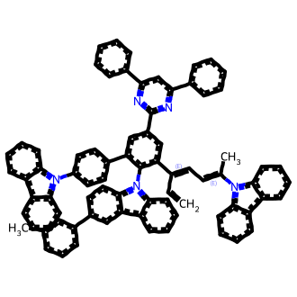 C=C/C(=C\C=C(/C)n1c2ccccc2c2ccccc21)c1cc(-c2nc(-c3ccccc3)cc(-c3ccccc3)n2)cc(-c2ccc(-n3c4ccccc4c4ccccc43)cc2)c1-n1c2ccccc2c2cc(-c3cccc(C)c3)ccc21